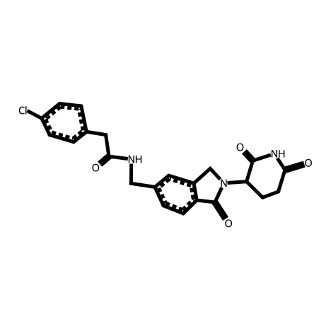 O=C(Cc1ccc(Cl)cc1)NCc1ccc2c(c1)CN(C1CCC(=O)NC1=O)C2=O